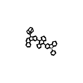 c1ccc(-n2c3ccccc3c3cc(-c4c5ccccc5c(-c5ccc6c(c5)-c5c(ccc7ccccc57)C6C5C6CC7CC(C6)CC5C7)c5ccccc45)ccc32)cc1